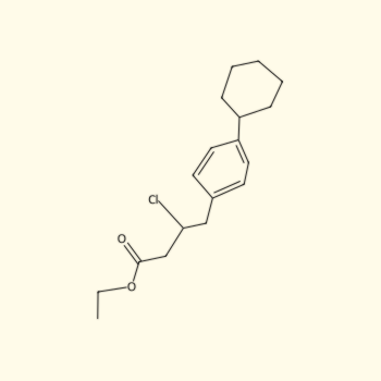 CCOC(=O)CC(Cl)Cc1ccc(C2CCCCC2)cc1